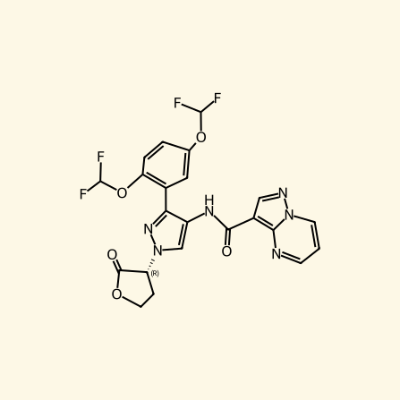 O=C(Nc1cn([C@@H]2CCOC2=O)nc1-c1cc(OC(F)F)ccc1OC(F)F)c1cnn2cccnc12